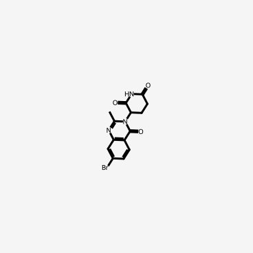 Cc1nc2cc(Br)ccc2c(=O)n1C1CCC(=O)NC1=O